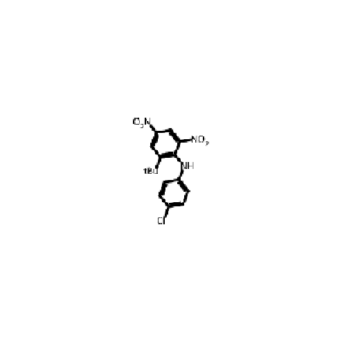 CC(C)(C)c1cc([N+](=O)[O-])cc([N+](=O)[O-])c1Nc1ccc(Cl)cc1